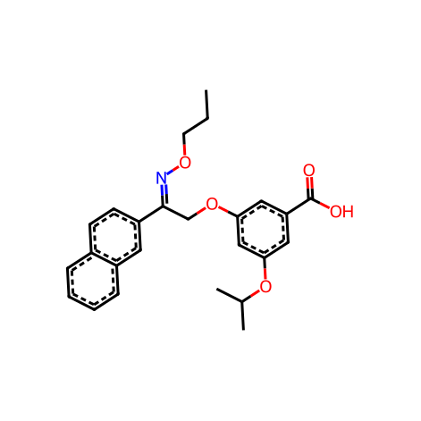 CCCON=C(COc1cc(OC(C)C)cc(C(=O)O)c1)c1ccc2ccccc2c1